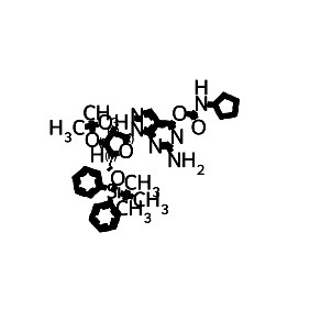 CC1(C)O[C@@H]2[C@H](O1)[C@@H](CO[Si](c1ccccc1)(c1ccccc1)C(C)(C)C)O[C@H]2n1ncc2c(OC(=O)NC3CCCC3)nc(N)nc21